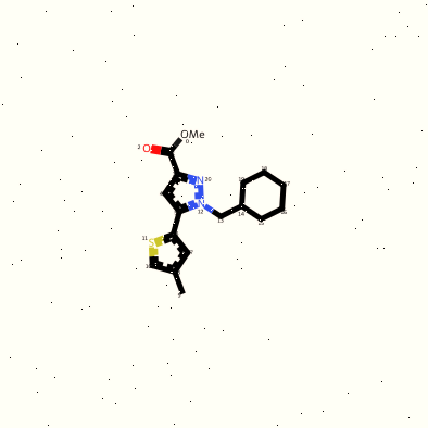 COC(=O)c1cc(-c2cc(C)cs2)n(CC2CCCCC2)n1